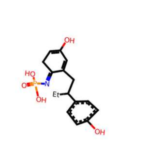 CCC(CC1=CC(O)=CCC1=NP(=O)(O)O)c1ccc(O)cc1